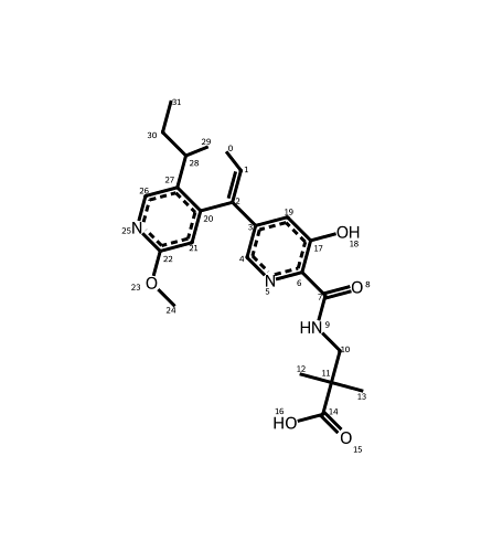 C/C=C(/c1cnc(C(=O)NCC(C)(C)C(=O)O)c(O)c1)c1cc(OC)ncc1C(C)CC